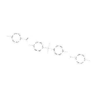 Cc1ccc(C(=O)Oc2ccc(C(C)(C)c3ccc(OC(O)c4ccc(C)cc4)cc3)cc2)cc1